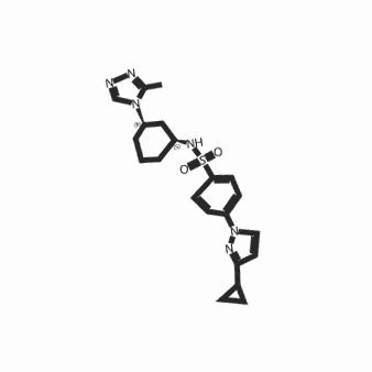 Cc1nncn1[C@@H]1CCC[C@H](NS(=O)(=O)c2ccc(-n3ccc(C4CC4)n3)cc2)C1